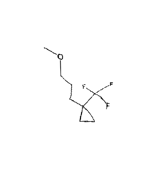 COCCCC1(C(F)(F)F)CC1